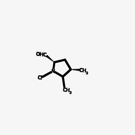 CC1[C@@H](C)C[C@@H](C=O)N1Cl